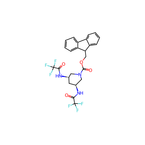 O=C(OCC1c2ccccc2-c2ccccc21)N1C[C@H](NC(=O)C(F)(F)F)C[C@H](NC(=O)C(F)(F)F)C1